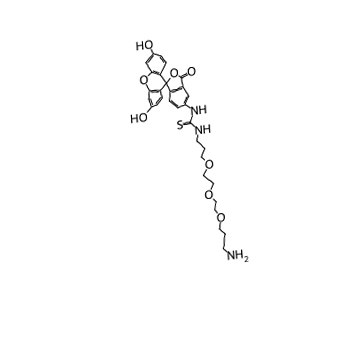 NCCCOCCOCCOCCCNC(=S)Nc1ccc2c(c1)C(=O)OC21c2ccc(O)cc2Oc2cc(O)ccc21